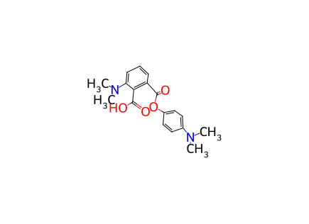 CN(C)c1ccc(OC(=O)c2cccc(N(C)C)c2C(=O)O)cc1